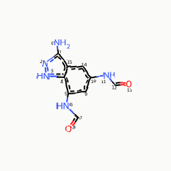 Nc1n[nH]c2c(NC=O)cc(NC=O)cc12